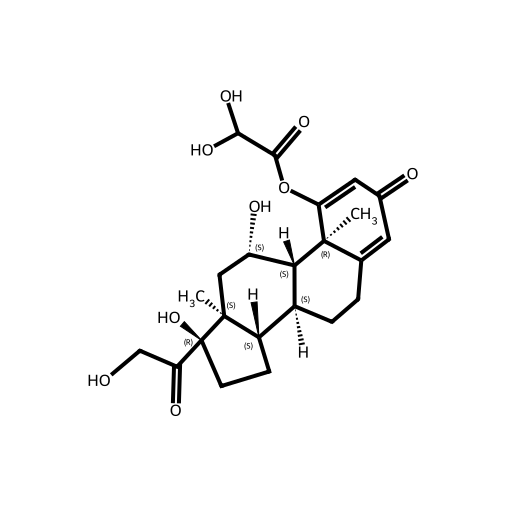 C[C@@]12C(=CC(=O)C=C1OC(=O)C(O)O)CC[C@@H]1[C@@H]2[C@@H](O)C[C@@]2(C)[C@H]1CC[C@]2(O)C(=O)CO